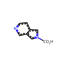 O=C(O)n1cc2ccncc2c1